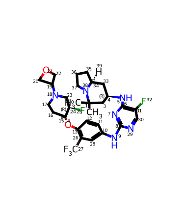 CC1(C)C[C@H](Nc2nc(Nc3ccc(O[C@@H]4CCN(C5COC5)C[C@H]4F)c(C(F)(F)F)c3)ncc2F)C[C@@H]2CCCN21